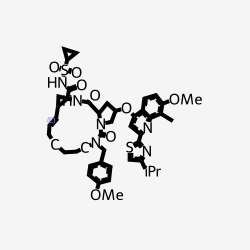 COc1ccc(CN2CCCCC/C=C/C3CC3(C(=O)NS(=O)(=O)C3CC3)NC(=O)C3CC(Oc4cc(-c5nc(C(C)C)cs5)nc5c(C)c(OC)ccc45)CN3C2=O)cc1